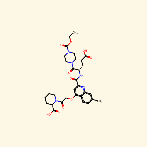 CCOC(=O)N1CCN(C(=O)[C@H](CCC(=O)O)NC(=O)c2cc(OCC(=O)N3CCCC[C@@H]3C(=O)O)c3ccc(C)cc3n2)CC1